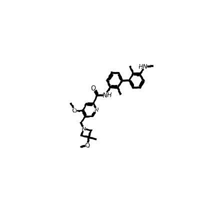 CNc1cccc(-c2cccc(NC(=O)c3cc(OC)c(CN4CC(C)(OC)C4)cn3)c2C)c1C